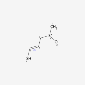 C[S+]([O-])C/C=C/S